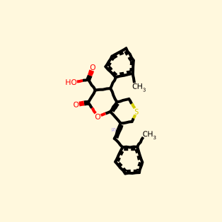 Cc1ccccc1/C=C1\CSCC2=C1OC(=O)C(C(=O)O)C2c1ccccc1C